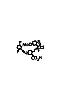 COc1ccc2ncc(Cl)c([C@H](F)CCC3CCN(CC#Cc4cc(F)ccc4F)CC3CC(=O)O)c2c1